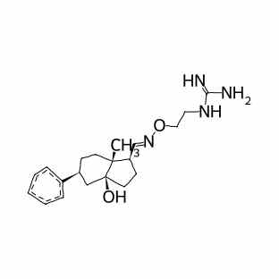 C[C@]12CC[C@H](c3ccccc3)C[C@@]1(O)CC[C@@H]2/C=N/OCCNC(=N)N